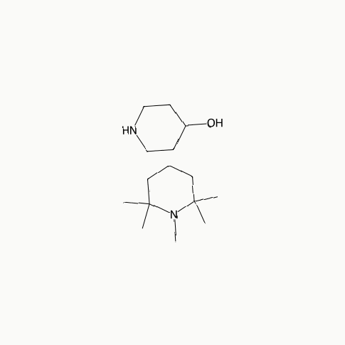 CN1C(C)(C)CCCC1(C)C.OC1CCNCC1